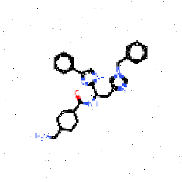 NCC1CCC(C(=O)NC(Cc2cn(Cc3ccccc3)cn2)c2nc(-c3ccccc3)c[nH]2)CC1